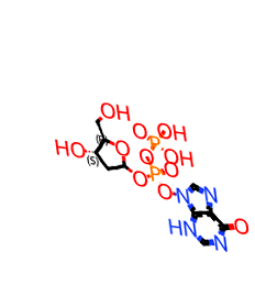 O=c1nc[nH]c2c1ncn2OP(=O)(OC1C[C@H](O)[C@@H](CO)O1)OP(=O)(O)O